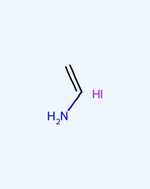 C=CN.I